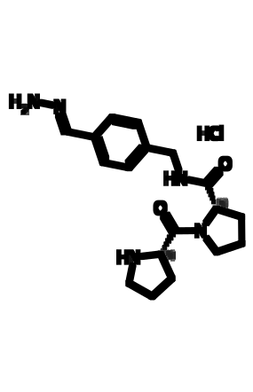 Cl.NN=Cc1ccc(CNC(=O)[C@@H]2CCCN2C(=O)[C@@H]2CCCN2)cc1